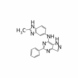 Cc1nc2cc(Nc3nc(-c4ccccc4)nc4cn[nH]c34)ccc2[nH]1